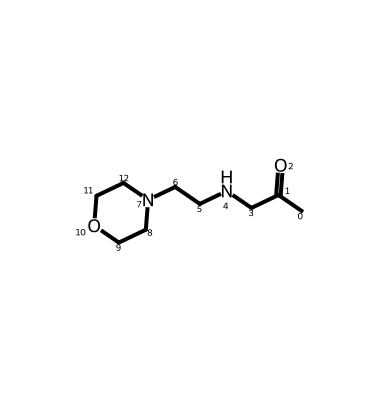 CC(=O)CNCCN1CCOCC1